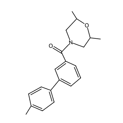 Cc1ccc(-c2cccc(C(=O)N3CC(C)OC(C)C3)c2)cc1